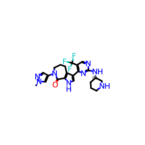 Cn1cc(N2CCCc3c(-c4nc(N[C@H]5CCCNC5)ncc4C(F)(F)F)c[nH]c3C2=O)cn1